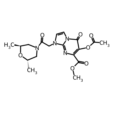 COC(=O)c1nc2n(CC(=O)N3C[C@H](C)O[C@@H](C)C3)ccn2c(=O)c1OC(C)=O